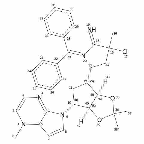 CN1C=CN=C2C1C=CN2[C@@H]1C[C@H](CCC(C)(Cl)C(=N)N=C(c2ccccc2)c2ccccc2)[C@H]2OC(C)(C)O[C@H]21